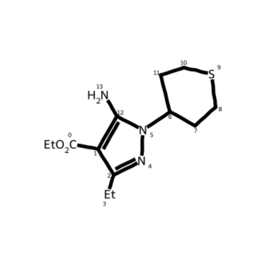 CCOC(=O)c1c(CC)nn(C2CCSCC2)c1N